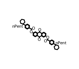 CCCCCC1(c2ccc(C(=O)Oc3ccc4c(c3)C(=O)c3ccc(OC(=O)c5ccc(C6(CCCCC)CCCCC6)cc5)cc3C4=O)cc2)CCCCC1